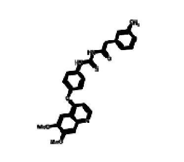 COc1cc2nccc(Oc3ccc(NC(=S)NC(=O)Cc4cccc(C)c4)cc3)c2cc1OC